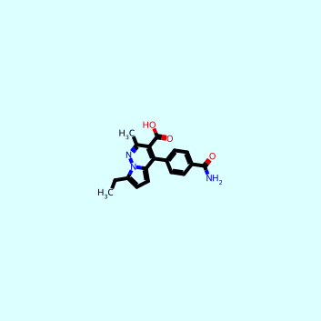 CCc1ccc2c(-c3ccc(C(N)=O)cc3)c(C(=O)O)c(C)nn12